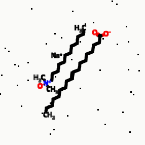 CCCCCCCCC=CCCCCCCCC(=O)[O-].CCCCCCCCCCCC[N+](C)(C)[O-].[Na+]